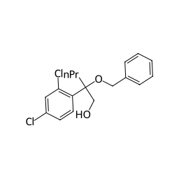 CCCC(CO)(OCc1ccccc1)c1ccc(Cl)cc1Cl